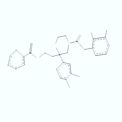 O=C(OCCC1(c2ccc(Cl)c(Cl)c2)CN(C(=O)Cc2cccc(Cl)c2Cl)CCO1)c1ccccc1